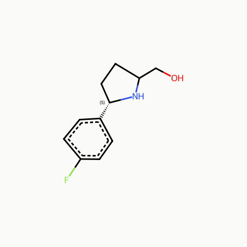 OCC1CC[C@@H](c2ccc(F)cc2)N1